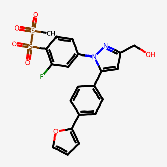 CS(=O)(=O)S(=O)(=O)c1ccc(-n2nc(CO)cc2-c2ccc(-c3ccco3)cc2)cc1F